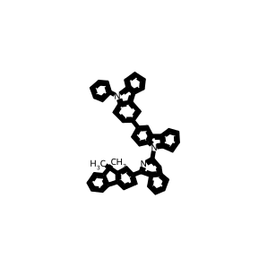 CC1(C)c2ccccc2-c2ccc(-c3nc(-n4c5ccccc5c5cc(-c6ccc7c(c6)c6ccccc6n7-c6ccccc6)ccc54)cc4ccccc34)cc21